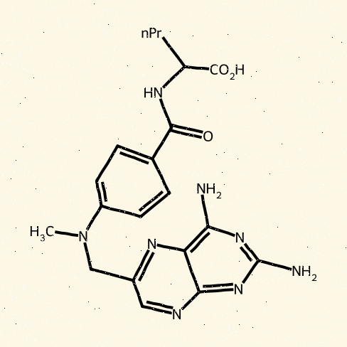 CCCC(NC(=O)c1ccc(N(C)Cc2cnc3nc(N)nc(N)c3n2)cc1)C(=O)O